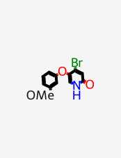 COc1cccc(Oc2c[nH]c(=O)cc2Br)c1